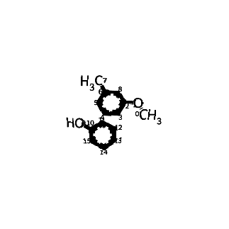 COc1cccc(C)c1.Oc1ccccc1